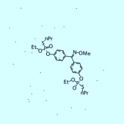 CCCSP(=O)(OCC)Oc1ccc(C(=NOC)c2ccc(OP(=O)(OCC)SCCC)cc2)cc1